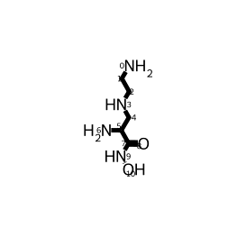 NCCNCC(N)C(=O)NO